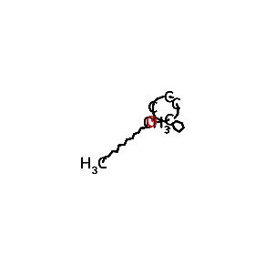 CCCCCCCCCCCCCC.O=C1CCCCCCCCCCCCCC1.[CH]1CCCCC1